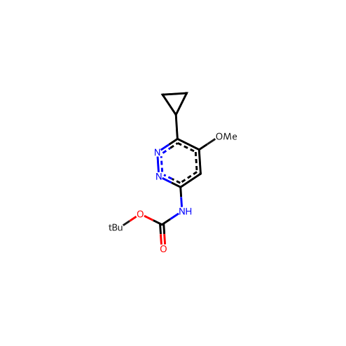 COc1cc(NC(=O)OC(C)(C)C)nnc1C1CC1